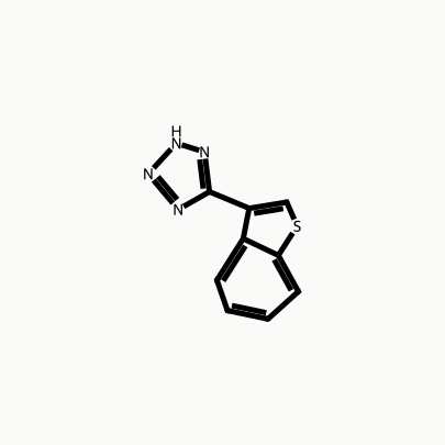 c1ccc2c(-c3nn[nH]n3)csc2c1